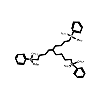 CO[Si](CCCCC(CCCC[Si](OC)(OC)c1ccccc1)CCCC[Si](OC)(OC)c1ccccc1)(OC)c1ccccc1